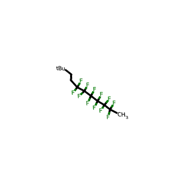 CC(C)(C)CCC(F)(F)C(F)(F)C(F)(F)C(F)(F)C(F)(F)C(C)(F)F